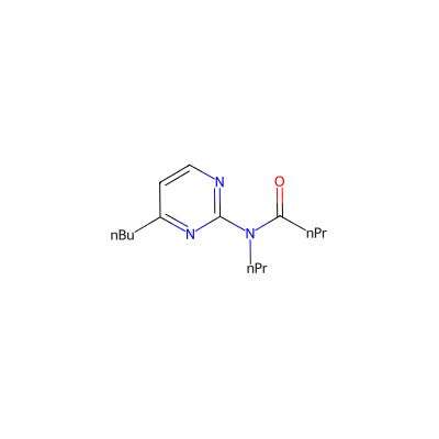 CCCCc1ccnc(N(CCC)C(=O)CCC)n1